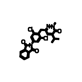 CC(C)c1cc(Cc2c(Cl)cc(N3C(=O)c4ccccc4C3=O)cc2Cl)nn(C)c1=O